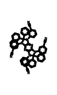 N#Cc1cccc(N2c3nc4c(nc3N(c3cccc(C#N)c3)C2(c2ccccc2)c2cccc3ccccc23)N(c2cccc(C#N)c2)C(c2ccccc2)(c2cccc3ccccc23)N4c2cccc(C#N)c2)c1